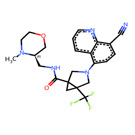 CN1CCOC[C@H]1CNC(=O)C12CN(c3ccc(C#N)c4ncccc34)CC1(C(F)(F)F)C2